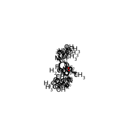 C=C1/C(F)=C\[C@@H]([C@@H]2CN=C([C@@H]3CCCN3C(=O)[C@@H](N[C@@H](O)OC)C(C)C)N2)CCOC(c2ccc(CCC)s2)N2[C@H]1C[C@@H]1CC([C@H]3CN=C([C@@H]4CCCN4C(=O)C(N[C@H](O)OC)C4C[C@@H](C)O[C@@H](C)C4)N3)=CC[C@@H]12